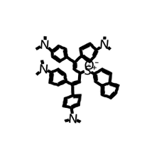 CN(C)c1ccc(C(=CC(C=C(c2ccc(N(C)C)cc2)c2ccc(N(C)C)cc2)[S+]([O-])c2ccc3ccccc3c2)c2ccc(N(C)C)cc2)cc1